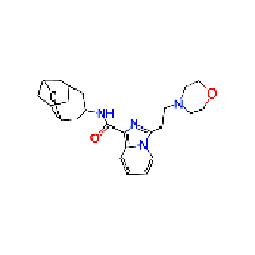 O=C(NC1CC2CC3CC(C2)C(C3)C1)c1nc(CCN2CCOCC2)n2ccccc12